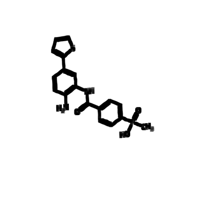 CP(=O)(O)c1ccc(C(=O)Nc2cc(-c3cccs3)ccc2N)cc1